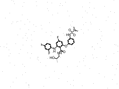 C[C@H](O)CNC(=O)c1c(Nc2ccc(I)cc2F)cc(F)cc1Oc1cccc(NS(=O)(=O)N(C)C)c1